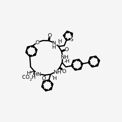 O=C1COc2ccc(cc2)C[C@@H](C(=O)O)NC(=O)[C@H](c2ccccc2)NC(=O)[C@H](Cc2ccc(-c3ccccc3)cc2)NC(=O)[C@H](Cc2cccs2)N1